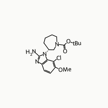 COc1ccc2nc(N)n([C@@H]3CCCCN(C(=O)OC(C)(C)C)C3)c2c1Cl